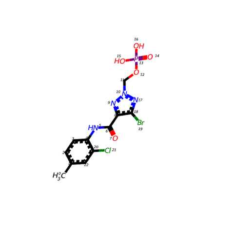 Cc1ccc(NC(=O)c2nn(COP(=O)(O)O)nc2Br)c(Cl)c1